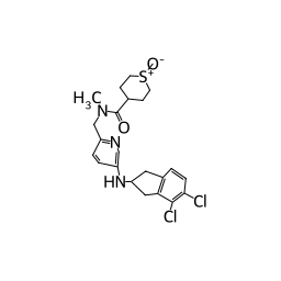 CN(Cc1ccc(NC2Cc3ccc(Cl)c(Cl)c3C2)cn1)C(=O)C1CC[S+]([O-])CC1